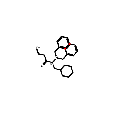 CC(C)CCC(=O)[C@H](CC1CCCCC1)N(Cc1ccccc1)Cc1ccccc1